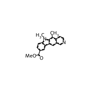 COC(=O)c1ccc2c(c1)c1cc3cnccc3c(C)c1n2C